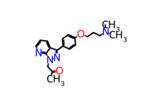 CC(=O)Cn1nc(-c2ccc(OCCCN(C)C)cc2)c2cccnc21